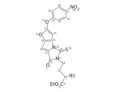 CCOC(=O)C(CC)CCN1C(=O)c2cc3oc(Oc4ccc([N+](=O)[O-])cc4)cc3n2C1=S